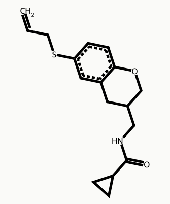 C=CCSc1ccc2c(c1)CC(CNC(=O)C1CC1)CO2